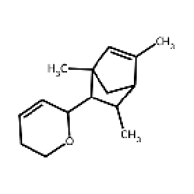 CC1=CC2(C)CC1C(C)C2C1C=CCCO1